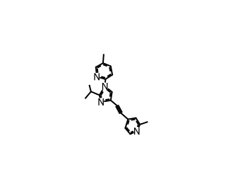 Cc1ccc(-n2cc(C#Cc3ccnc(C)c3)nc2C(C)C)nc1